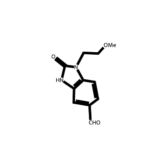 COCCn1c(=O)[nH]c2cc(C=O)ccc21